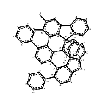 Cc1cc2c(c(-c3c(-c4ccccc4)ccc(-c4c(-c5ccccc5)ccc5oc6ccccc6c45)c3-c3ccnnn3)c1C)Cc1ccccc1-2